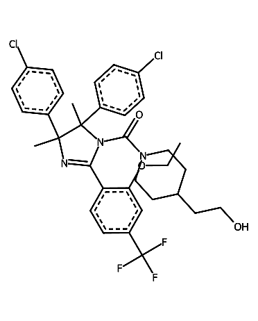 CCOc1cc(C(F)(F)F)ccc1C1=NC(C)(c2ccc(Cl)cc2)C(C)(c2ccc(Cl)cc2)N1C(=O)N1CCC(CCO)CC1